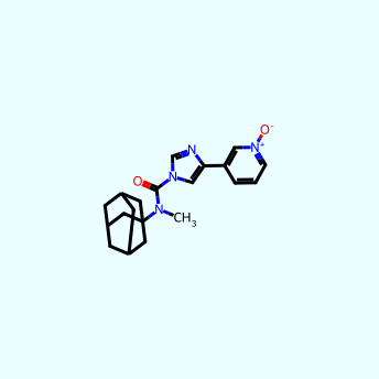 CN(C(=O)n1cnc(-c2ccc[n+]([O-])c2)c1)C12CC3CC(CC(C3)C1)C2